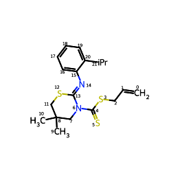 C=CCSC(=S)N1CC(C)(C)CSC1=Nc1ccccc1C(C)C